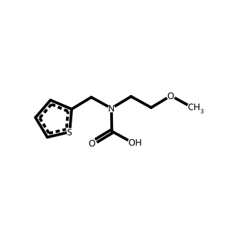 COCCN(Cc1cccs1)C(=O)O